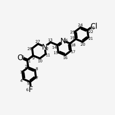 O=C(c1ccc(F)cc1)C1CCN(Cc2cccc(-c3ccc(Cl)cc3)n2)CC1